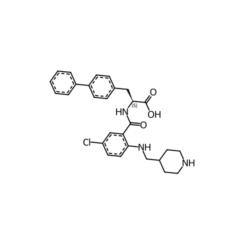 O=C(N[C@@H](Cc1ccc(-c2ccccc2)cc1)C(=O)O)c1cc(Cl)ccc1NCC1CCNCC1